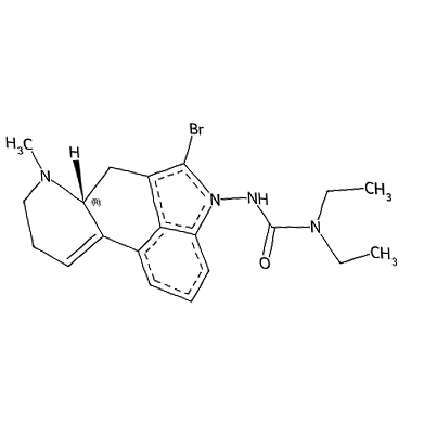 CCN(CC)C(=O)Nn1c(Br)c2c3c(cccc31)C1=CCCN(C)[C@@H]1C2